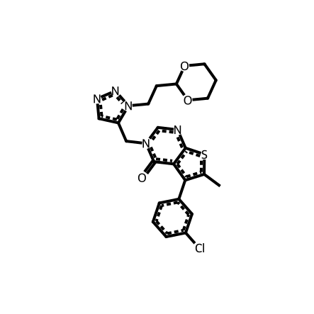 Cc1sc2ncn(Cc3cnnn3CCC3OCCCO3)c(=O)c2c1-c1cccc(Cl)c1